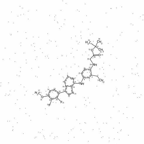 CCc1cc(Nc2nccn3c(-c4ccc(OC)c(F)c4F)cnc23)ccc1NCC(=O)OC(C)(C)C